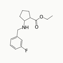 CCOC(=O)C1CCCC1NCc1cccc(F)c1